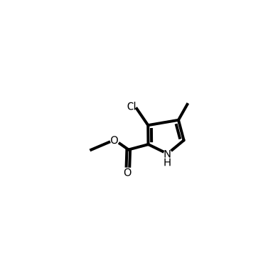 COC(=O)c1[nH]cc(C)c1Cl